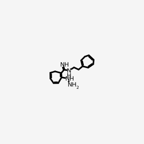 N=C(NCCC1=CCC=CC=C1)C1=C(NN)C=CC=CC1